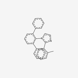 Cc1ccccc1-c1nccn1-c1c(-c2ccccc2)cccc1-c1ccccc1